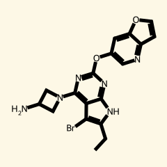 CCc1[nH]c2nc(Oc3cnc4ccoc4c3)nc(N3CC(N)C3)c2c1Br